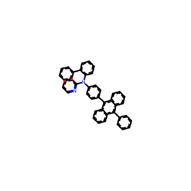 c1ccc(-c2ccccc2N(c2ccc(-c3c4ccccc4c(-c4ccccc4)c4ccccc34)cc2)c2ccccn2)cc1